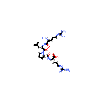 CC(C)C[C@H](NC(=O)[C@@H](N)CCCNC(=N)N)C(=O)N1CCC[C@H]1C(=O)N[C@@H](CCCNC(=N)N)C(=O)O